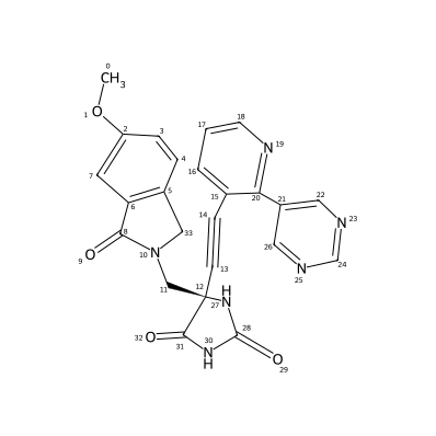 COc1ccc2c(c1)C(=O)N(C[C@@]1(C#Cc3cccnc3-c3cncnc3)NC(=O)NC1=O)C2